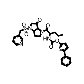 CCCC(NC(=O)Oc1ccc(-c2ccccc2)s1)C(=O)N1CCC2C1C(=O)CN2S(=O)(=O)Cc1cccnc1